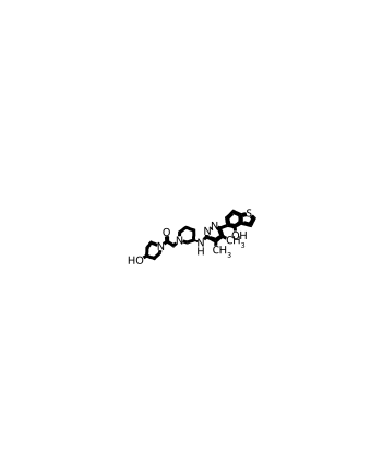 Cc1c(N[C@@H]2CCCN(CC(=O)N3CCC(O)CC3)C2)nnc(-c2ccc3sccc3c2O)c1C